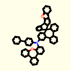 c1ccc(-c2ccc(N(c3ccc4c(c3)-c3ccccc3-c3ccccc3C43c4ccccc4-c4c3ccc3c4oc4ccccc43)c3cccc4c3Oc3ccccc3-c3ccccc3-4)cc2)cc1